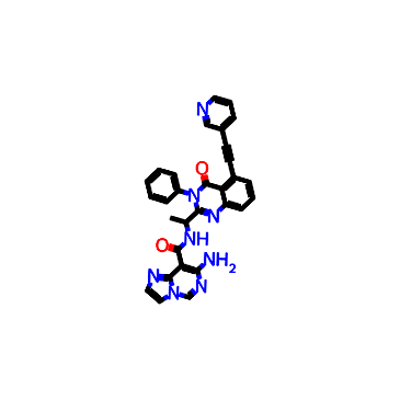 CC(NC(=O)c1c(N)ncn2ccnc12)c1nc2cccc(C#Cc3cccnc3)c2c(=O)n1-c1ccccc1